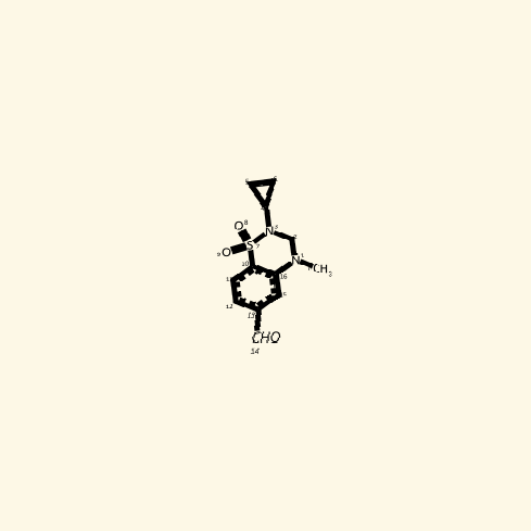 CN1CN(C2CC2)S(=O)(=O)c2ccc(C=O)cc21